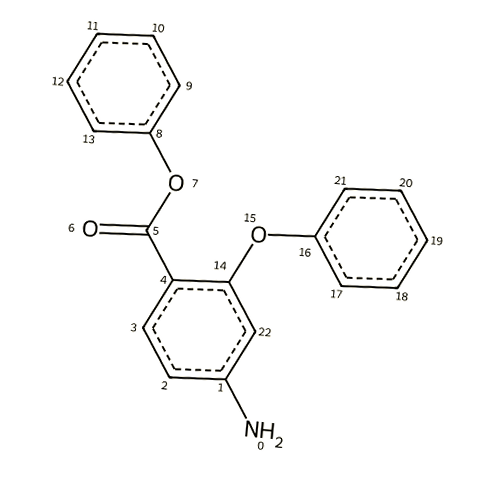 Nc1ccc(C(=O)Oc2ccccc2)c(Oc2ccccc2)c1